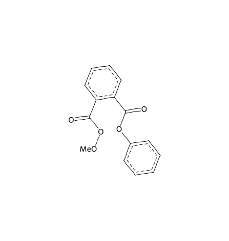 COOC(=O)c1ccccc1C(=O)Oc1ccccc1